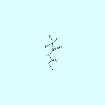 CC[SiH2]NC(=O)C(F)(F)F